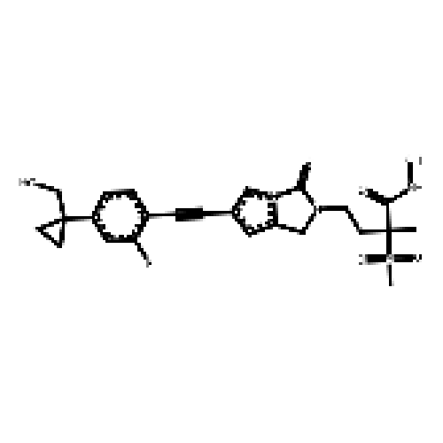 CC(CCN1Cc2cc(C#Cc3ccc(C4(CO)CC4)cc3F)cn2C1=O)(C(=O)NO)S(C)(=O)=O